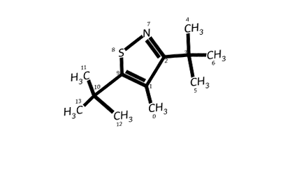 Cc1c(C(C)(C)C)nsc1C(C)(C)C